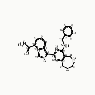 NC(=O)c1cccc2c(-c3nc4c(c(NCc5ccccc5)n3)COCCC4)ncn12